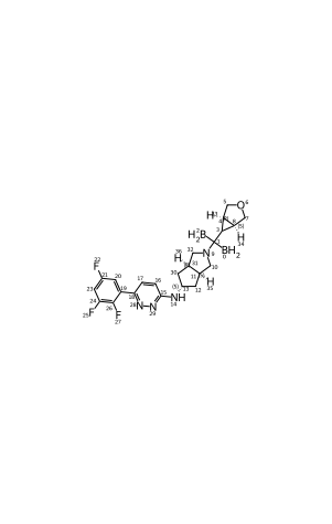 BC(B)(C1[C@H]2COC[C@@H]12)N1C[C@H]2C[C@H](Nc3ccc(-c4cc(F)cc(F)c4F)nn3)C[C@H]2C1